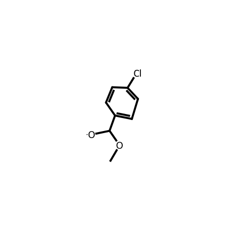 COC([O])c1ccc(Cl)cc1